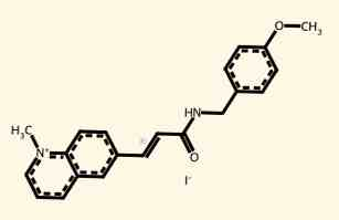 COc1ccc(CNC(=O)/C=C/c2ccc3c(ccc[n+]3C)c2)cc1.[I-]